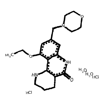 CCOc1cc(CN2CCOCC2)cc2[nH]c(=O)c3c(c12)NCCC3.Cl.Cl.O.O